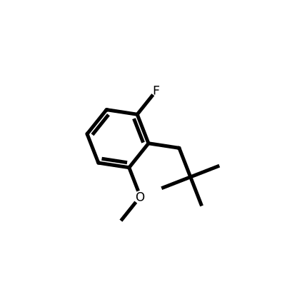 COc1cccc(F)c1CC(C)(C)C